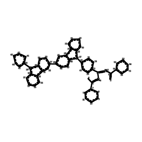 C=C(/N=C(\N=C(/C)c1ccccc1)c1ccc(-n2c3ccccc3c3cc(-c4ccc5c(c4)c4ccccc4n5-c4ccccc4)ccc32)cc1)c1ccccc1